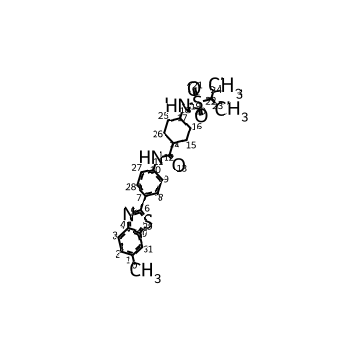 Cc1ccc2nc(-c3ccc(NC(=O)C4CCC(NS(=O)(=O)C(C)C)CC4)cc3)sc2c1